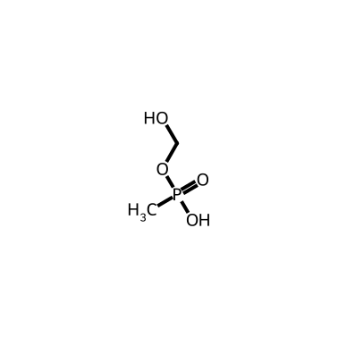 CP(=O)(O)OCO